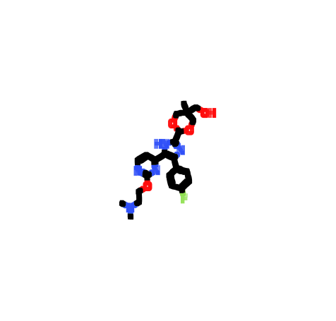 CN(C)CCOc1nccc(-c2[nH]c(C3OCC(C)(CO)CO3)nc2-c2ccc(F)cc2)n1